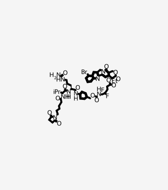 CC[C@@]1(OC(=O)CCC(F)(F)CNC(=O)OCc2ccc(NC(=O)[C@H](CCCNC(N)=O)NC(=O)C(NC(=O)CCCCCN3C(=O)CCC3=O)C(C)C)cc2)C(=O)OCc2c1cc1n(c2=O)Cc2cc3c(Br)cccc3nc2-1